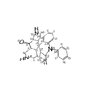 O=C1C2CNCCC2C2(c3ccccc3N(c3ccccc3)C3NCCCC32)C2CCNCC12